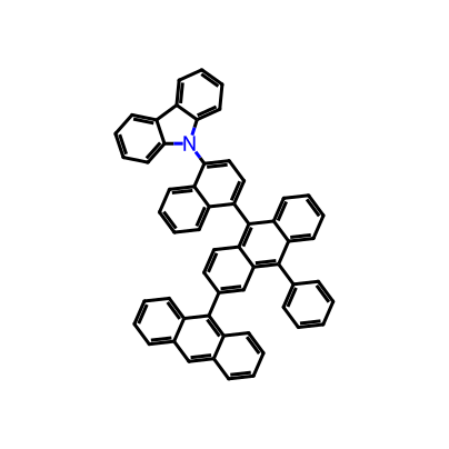 c1ccc(-c2c3ccccc3c(-c3ccc(-n4c5ccccc5c5ccccc54)c4ccccc34)c3ccc(-c4c5ccccc5cc5ccccc45)cc23)cc1